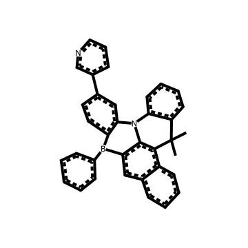 CC1(C)c2ccccc2N2c3cc(-c4cccnc4)ccc3B(c3ccccc3)c3cc4ccccc4c1c32